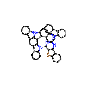 c1ccc2c(c1)ccc1c2c2c3c(cc4c5ccccc5n1c42)c1ccccc1n3-c1nc(-n2c3ccccc3c3ccccc32)nc2c1sc1ccccc12